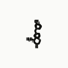 C[C@@H]1CNCCc2ccc(Cc3cccc(C(F)(F)F)c3)cc21